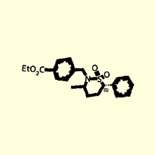 CCOC(=O)c1ccc(CN2C(C)CC[C@@H](c3ccccc3)S2(=O)=O)cc1